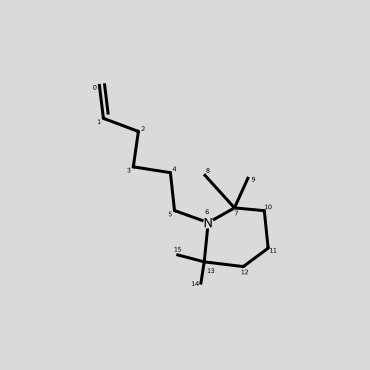 C=CCCCCN1C(C)(C)CCCC1(C)C